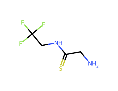 NCC(=S)NCC(F)(F)F